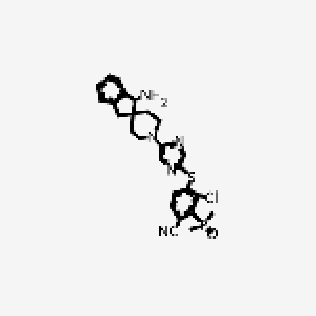 CP(C)(=O)c1c(C#N)ccc(Sc2cnc(N3CCC4(CC3)Cc3ccccc3[C@H]4N)cn2)c1Cl